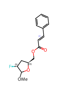 COC1O[C@H](COC(=O)/C=C/c2ccccc2)C[C@@H]1F